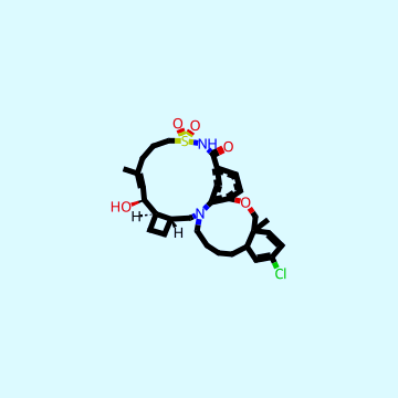 C/C1=C\[C@H](O)[C@@H]2CC[C@H]2CN2CCCCC3C=C(Cl)C=CC3(C)COc3ccc(cc32)C(=O)NS(=O)(=O)CCC1